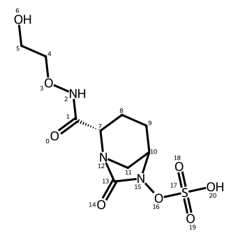 O=C(NOCCO)[C@@H]1CCC2CN1C(=O)N2OS(=O)(=O)O